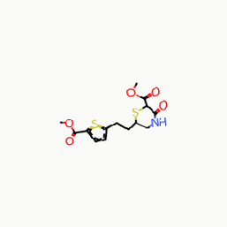 COC(=O)c1ccc(CCC2CNC(=O)C(C(=O)OC)S2)s1